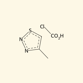 Cc1csnn1.O=C(O)Cl